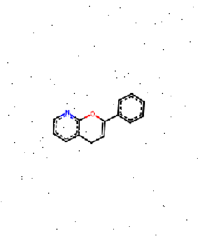 C1=C(c2ccccc2)Oc2ncccc2C1